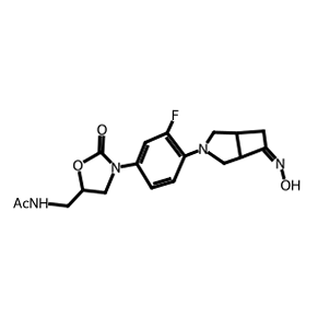 CC(=O)NCC1CN(c2ccc(N3CC4C/C(=N/O)C4C3)c(F)c2)C(=O)O1